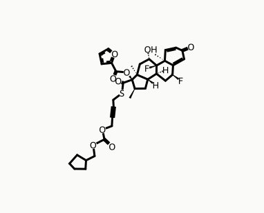 C[C@@H]1C[C@H]2[C@@H]3C[C@H](F)C4=CC(=O)C=C[C@]4(C)[C@@]3(F)[C@@H](O)C[C@]2(C)[C@@]1(OC(=O)c1ccco1)C(=O)SCC#CCOC(=O)OCC1CCCC1